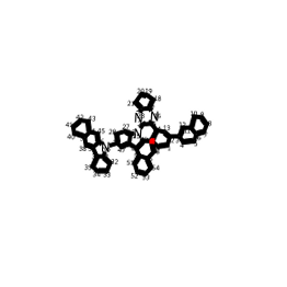 c1cc(-c2ccc3ccccc3c2)cc(-c2nc3ccccc3nc2-n2c3ccc(-n4c5ccccc5c5cc6ccccc6cc54)cc3c3c4ccccc4ccc32)c1